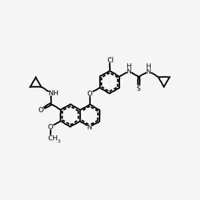 COc1cc2nccc(Oc3ccc(NC(=S)NC4CC4)c(Cl)c3)c2cc1C(=O)NC1CC1